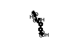 CNN(Cc1cccc(-c2ccc(C(C)S(=O)(=O)O)cc2)c1)C(=O)CNC(=O)OC(C)(C)C